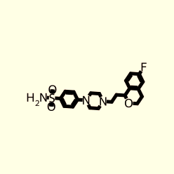 NS(=O)(=O)c1ccc(N2CCN(CCC3OCCc4cc(F)ccc43)CC2)cc1